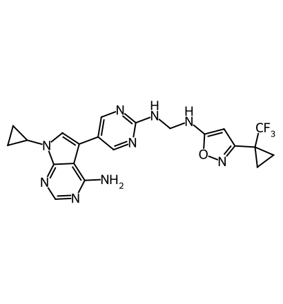 Nc1ncnc2c1c(-c1cnc(NCNc3cc(C4(C(F)(F)F)CC4)no3)nc1)cn2C1CC1